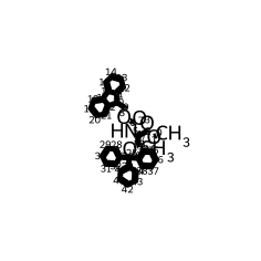 COC(=O)[C@@H](NC(=O)OCC1c2ccccc2-c2ccccc21)[C@@H](C)OC(c1ccccc1)(c1ccccc1)c1ccccc1